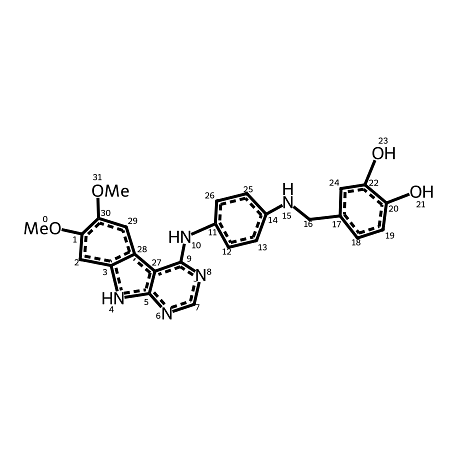 COc1cc2[nH]c3ncnc(Nc4ccc(NCc5ccc(O)c(O)c5)cc4)c3c2cc1OC